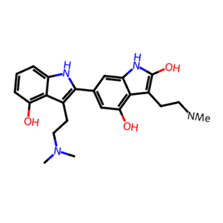 CNCCc1c(O)[nH]c2cc(-c3[nH]c4cccc(O)c4c3CCN(C)C)cc(O)c12